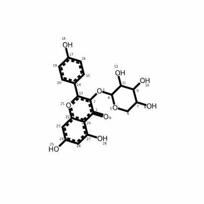 O=c1c(OC2OCC(O)C(O)C2O)c(-c2ccc(O)cc2)oc2cc(O)cc(O)c12